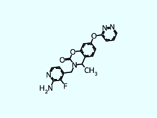 CC1c2ccc(Oc3cccnn3)cc2OC(=O)N1Cc1ccnc(N)c1F